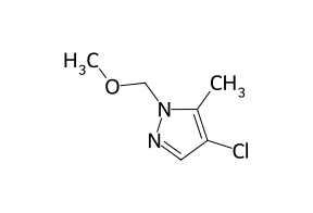 COCn1ncc(Cl)c1C